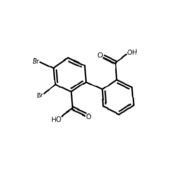 O=C(O)c1ccccc1-c1ccc(Br)c(Br)c1C(=O)O